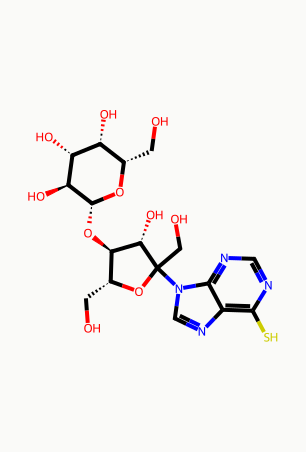 OC[C@@H]1O[C@H](O[C@@H]2[C@@H](CO)OC(CO)(n3cnc4c(S)ncnc43)[C@H]2O)[C@@H](O)[C@H](O)[C@@H]1O